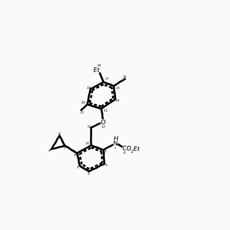 CCOC(=O)Nc1cccc(C2CC2)c1COc1cc(C)c(CC)cc1C